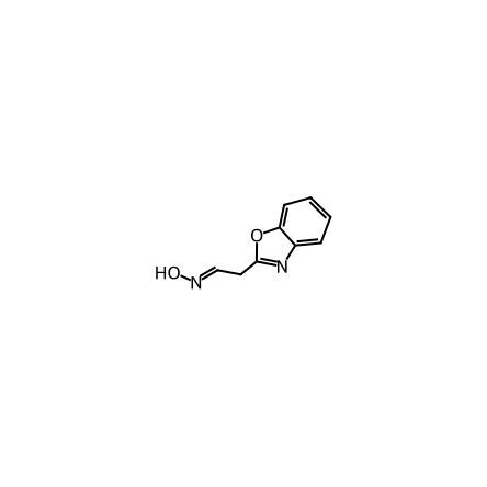 ON=CCc1nc2ccccc2o1